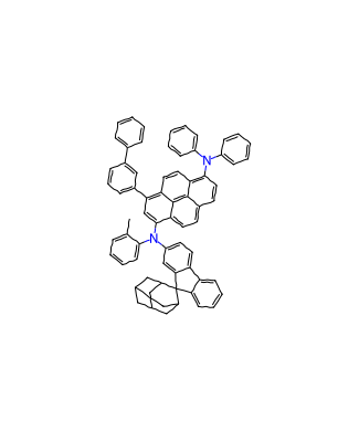 Cc1ccccc1N(c1ccc2c(c1)C1(c3ccccc3-2)C2CC3CC(C2)CC1C3)c1cc(-c2cccc(-c3ccccc3)c2)c2ccc3c(N(c4ccccc4)c4ccccc4)ccc4ccc1c2c43